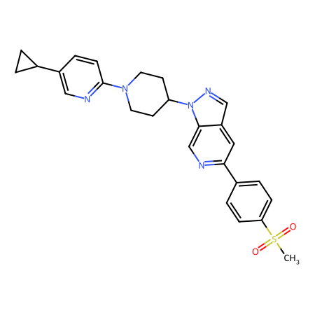 CS(=O)(=O)c1ccc(-c2cc3cnn(C4CCN(c5ccc(C6CC6)cn5)CC4)c3cn2)cc1